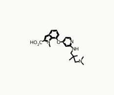 CN(C)CC(C)(C)CNc1cc(Oc2cccc3cc(C(=O)O)n(C)c23)ccn1